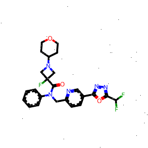 O=C(N(Cc1ccc(-c2nnc(C(F)F)o2)cn1)c1ccccc1)C1(F)CN(C2CCOCC2)C1